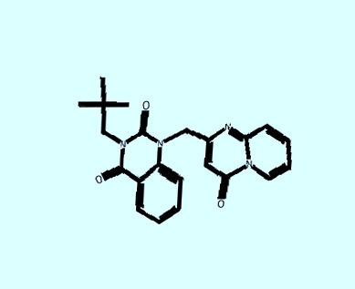 CC(C)(C)Cn1c(=O)c2ccccc2n(Cc2cc(=O)n3ccccc3n2)c1=O